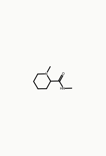 CNC(=O)C1C[CH]CCN1C